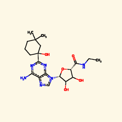 CCNC(=O)[C@H]1O[C@@H](n2cnc3c(N)nc(C4(O)CCCC(C)(C)C4)nc32)C(O)C1O